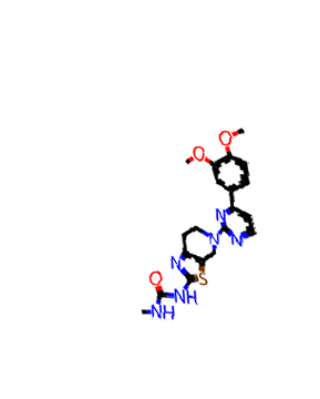 CNC(=O)Nc1nc2c(s1)CN(c1nccc(-c3ccc(OC)c(OC)c3)n1)CC2